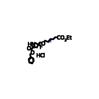 CCOC(=O)CC/C=C/COC[C@]1(F)CN[C@H](C(=O)OCc2ccccc2)C1.Cl